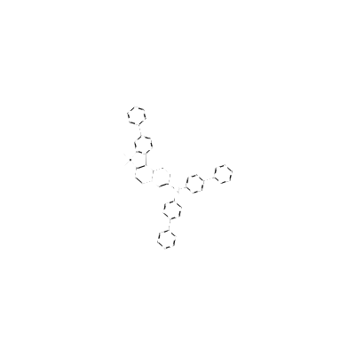 CC1(C)C2=C(c3ccc(-c4ccccc4)cc31)C1CCC(N(c3ccc(-c4ccccc4)cc3)c3ccc(-c4ccccc4)cc3)=CC1C=C2